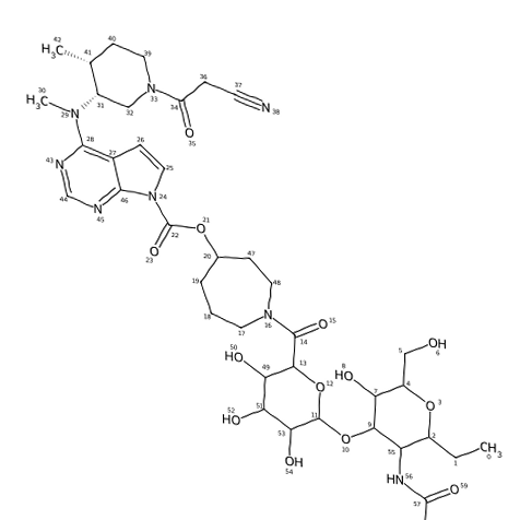 CCC1OC(CO)C(O)C(OC2OC(C(=O)N3CCCC(OC(=O)n4ccc5c(N(C)[C@H]6CN(C(=O)CC#N)CC[C@H]6C)ncnc54)CC3)C(O)C(O)C2O)C1NC(C)=O